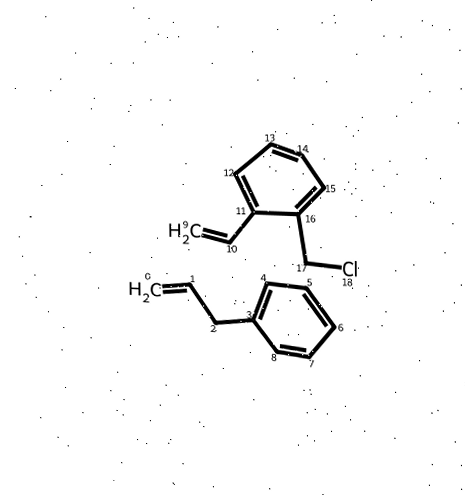 C=CCc1ccccc1.C=Cc1ccccc1CCl